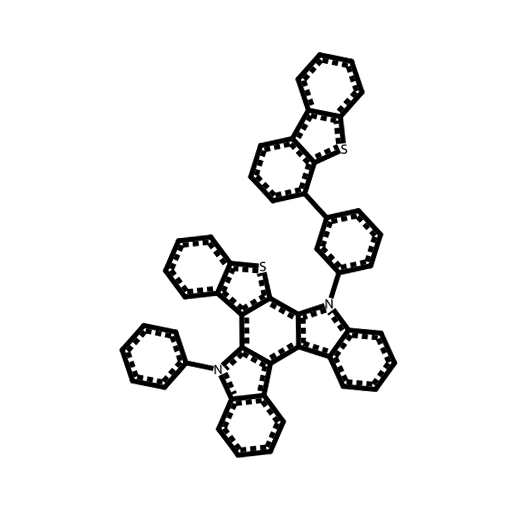 c1ccc(-n2c3ccccc3c3c4c5ccccc5n(-c5cccc(-c6cccc7c6sc6ccccc67)c5)c4c4sc5ccccc5c4c32)cc1